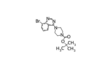 CC(C)(C)OC(=O)N1CCN(c2ncnc3c(Br)cccc23)CC1